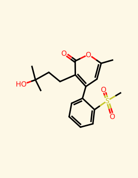 Cc1cc(-c2ccccc2S(C)(=O)=O)c(CCC(C)(C)O)c(=O)o1